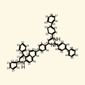 C1=C(C2=CC(c3ccc(-c4ccc5c6c(ccc5c4)NC(c4ccccc4)C=C6c4ccccc4)cc3)NC(c3ccc(-c4ccccc4)cc3)N2)CCC(c2ccccc2)=C1